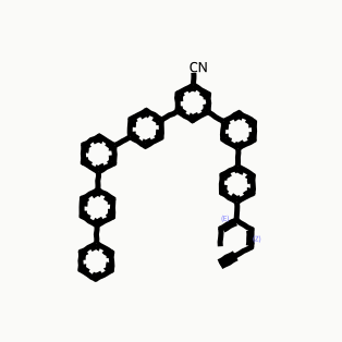 C#C/C=C\C(=C/C)c1ccc(-c2cccc(-c3cc(C#N)cc(-c4ccc(-c5cccc(-c6ccc(-c7ccccc7)cc6)c5)cc4)c3)c2)cc1